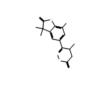 CC1CC(=O)NN=C1c1cc(Br)c2c(c1)C(C)(C)C(=O)N2